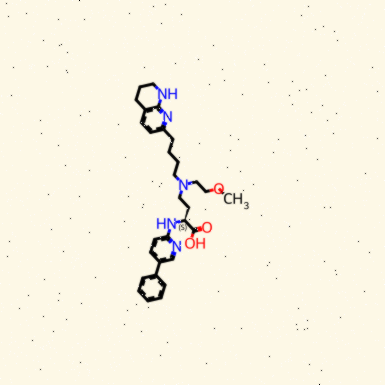 COCCN(CCCCc1ccc2c(n1)NCCC2)CC[C@H](Nc1ccc(-c2ccccc2)cn1)C(=O)O